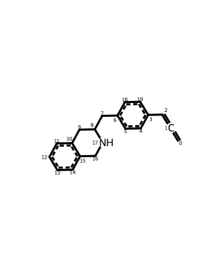 C=C=Cc1ccc(CC2Cc3ccccc3CN2)cc1